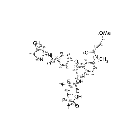 COCC#CC(=O)N(C)c1ccc2nccc(Oc3ccc(C(=O)Nc4cc(C)ccn4)cc3)c2c1.O=C(O)C(F)(F)F.O=C(O)C(F)(F)F